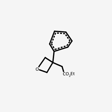 CCOC(=O)CC1(c2ccccc2)COC1